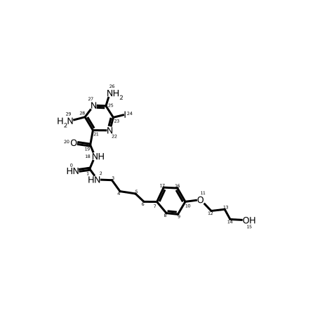 N=C(NCCCCc1ccc(OCCCO)cc1)NC(=O)c1nc(I)c(N)nc1N